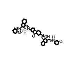 COc1cccc(NOCc2cc3ccccc3c(N=Nc3ccc4c(c3)C(=O)c3cc(N=Nc5c(O)c(C(=O)Nc6ccccc6Cl)cc6ccccc56)ccc3-4)c2O)c1